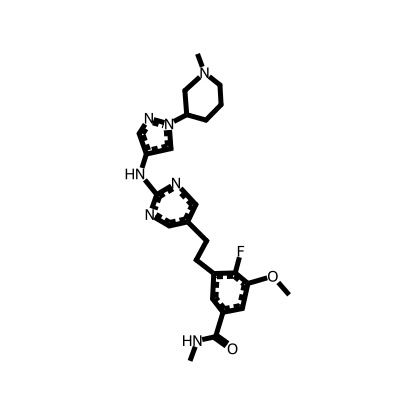 CNC(=O)c1cc(CCc2cnc(Nc3cnn(C4CCCN(C)C4)c3)nc2)c(F)c(OC)c1